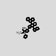 C=Cc1c(C=N)c2cc(-c3ccc4c(-c5cc6ccccc6c6ccccc56)c5c(c(-c6cccc7ccccc67)c4c3)C=CCC5)ccc2n1-c1ccccc1